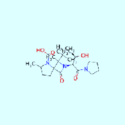 CC1CCC2(C(=O)N([C@H](C(=O)N3CCCC3)[C@@H](C)O)C2(C)C(C)(C)C)N1C(=O)O